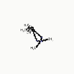 CCCCC/C=C\C/C=C\CCCCCCCCC1(CCCCCCCC/C=C\C/C=C\CCCCC)CCC2(C1)O[C@@H](CC(C)N(C)C)[C@@H](C)O2